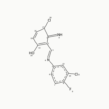 N=C1C(C=Nc2ccc(F)c(Cl)c2)=C(O)C=CC1Cl